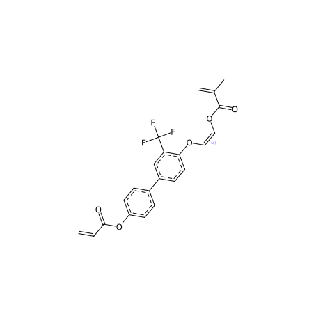 C=CC(=O)Oc1ccc(-c2ccc(O/C=C\OC(=O)C(=C)C)c(C(F)(F)F)c2)cc1